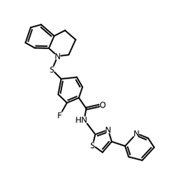 O=C(Nc1nc(-c2ccccn2)cs1)c1ccc(SN2CCCc3ccccc32)cc1F